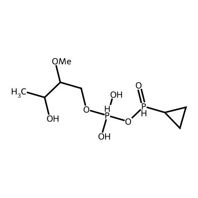 COC(CO[PH](O)(O)O[PH](=O)C1CC1)C(C)O